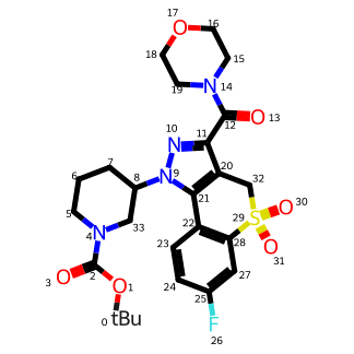 CC(C)(C)OC(=O)N1CCCC(n2nc(C(=O)N3CCOCC3)c3c2-c2ccc(F)cc2S(=O)(=O)C3)C1